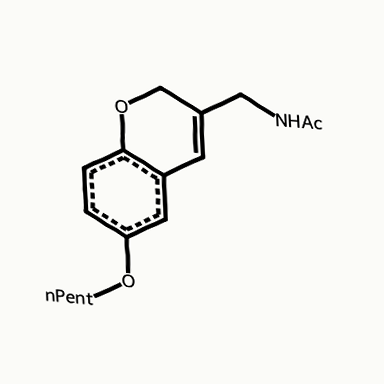 CCCCCOc1ccc2c(c1)C=C(CNC(C)=O)CO2